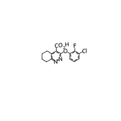 O=C(O)c1c(Oc2cccc(Cl)c2F)nnc2c1CCCC2